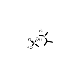 CC(C)P(C)C.CP(=O)(O)O.I